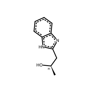 C[C@@H](O)Cc1nc2ccccc2[nH]1